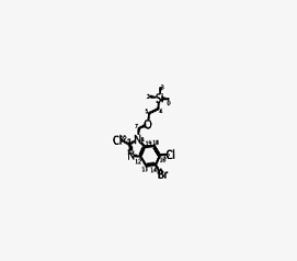 C[Si](C)(C)CCOCn1c(Cl)nc2cc(Br)c(Cl)cc21